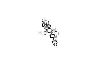 CC1=N[N+](CC2=C(C)CC(C)(c3ccc(N4CCOCC4)nc3)NC2=O)(C(C)C)C=C1